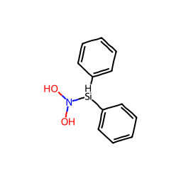 ON(O)[SiH](c1ccccc1)c1ccccc1